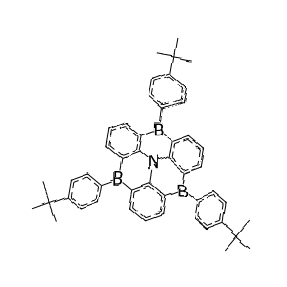 CC(C)(C)c1ccc(B2c3cccc4c3N3c5c2cccc5B(c2ccc(C(C)(C)C)cc2)c2cccc(c23)B4c2ccc(C(C)(C)C)cc2)cc1